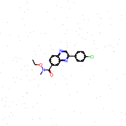 CCON(C)C(=O)c1ccc2ncc(-c3ccc(Cl)cc3)nc2c1